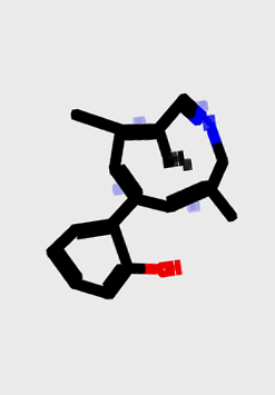 BC1=C(C)\C=C(c2ccccc2O)/C=C(/C)C/N=C\1